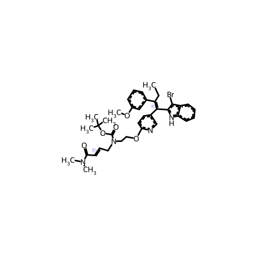 CC/C(=C(/c1ccc(OCCN(C/C=C/C(=O)N(C)C)C(=O)OC(C)(C)C)nc1)c1[nH]c2ccccc2c1Br)c1cccc(OC)c1